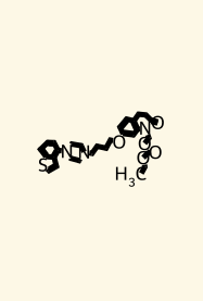 CCOC(=O)OCN1C(=O)CCc2ccc(OCCCCN3CCN(c4cccc5sccc45)CC3)cc21